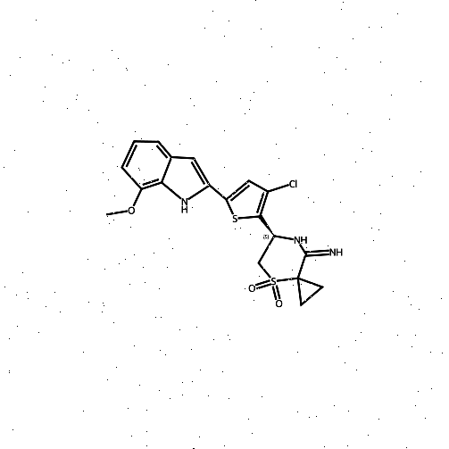 COc1cccc2cc(-c3cc(Cl)c([C@@H]4CS(=O)(=O)C5(CC5)C(=N)N4)s3)[nH]c12